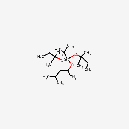 CCC(C)(C)[O][Sn]([O]C(C)CC(C)C)([O]C(C)(C)CC)[CH](C)C